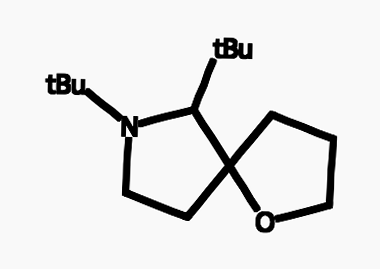 CC(C)(C)C1N(C(C)(C)C)CCC12CCCO2